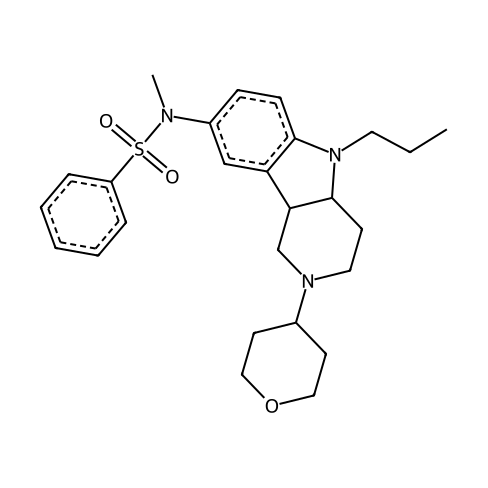 CCCN1c2ccc(N(C)S(=O)(=O)c3ccccc3)cc2C2CN(C3CCOCC3)CCC21